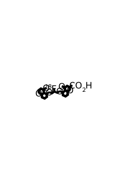 O=C(O)c1cc(=O)c2c(OCC([18F])COc3cccc4occc(=O)c34)cccc2o1